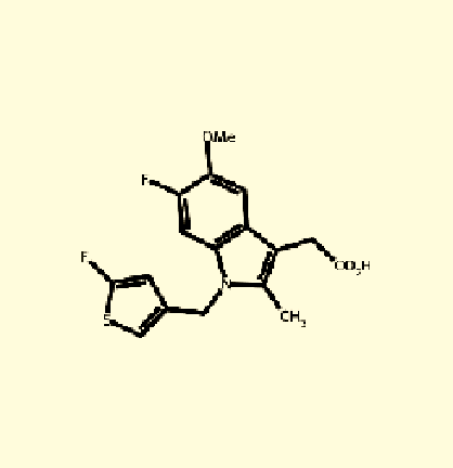 COc1cc2c(CC(=O)O)c(C)n(Cc3csc(F)c3)c2cc1F